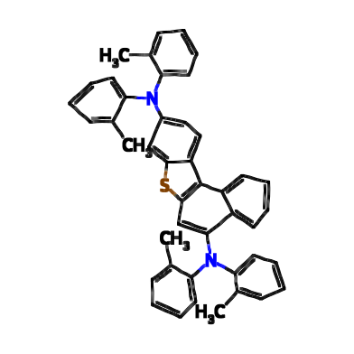 Cc1ccccc1N(c1ccc2c(c1)sc1cc(N(c3ccccc3C)c3ccccc3C)c3ccccc3c12)c1ccccc1C